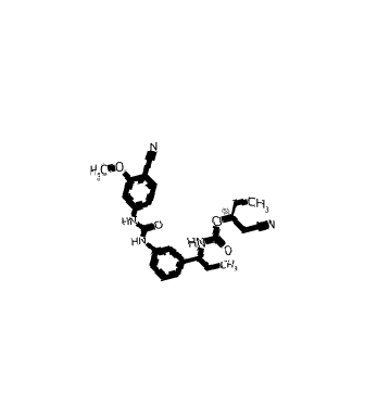 CCC(NC(=O)O[C@@H](CC)CC#N)c1cccc(NC(=O)Nc2ccc(C#N)c(OC)c2)c1